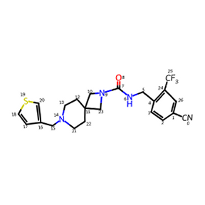 N#Cc1ccc(CNC(=O)N2CC3(CCN(Cc4ccsc4)CC3)C2)c(C(F)(F)F)c1